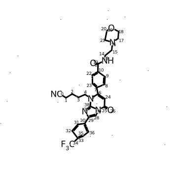 N#CCCCCn1c(-c2ccc(C(=O)NCCN3CCOCC3)cc2)cc(=O)n2cc(-c3ccc(C(F)(F)F)cc3)nc12